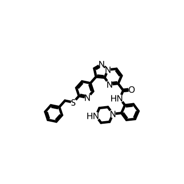 O=C(Nc1ccccc1N1CCNCC1)c1ccn2ncc(-c3ccc(SCc4ccccc4)nc3)c2n1